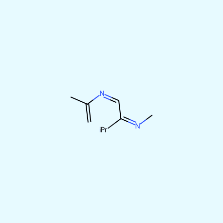 C=C(C)/N=C\C(=N/C)C(C)C